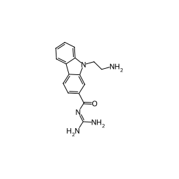 NCCn1c2ccccc2c2ccc(C(=O)N=C(N)N)cc21